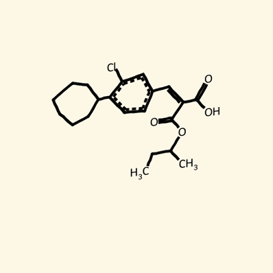 CCC(C)OC(=O)C(=Cc1ccc(C2CCCCCC2)c(Cl)c1)C(=O)O